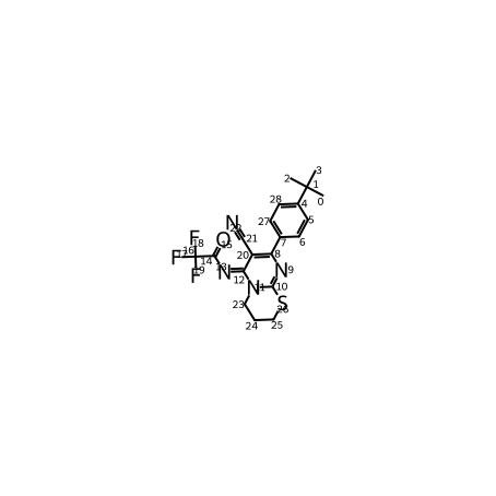 CC(C)(C)c1ccc(-c2nc3n(c(=NC(=O)C(F)(F)F)c2C#N)CCCS3)cc1